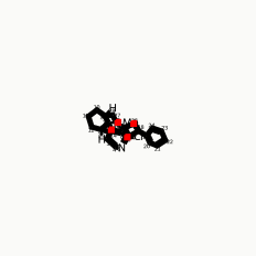 CO[C@]1(c2ccnc(Cl)c2)[C@@H]2CCC[C@H]1CN(C13CC(c4ccccc4)(C1)C3)C2